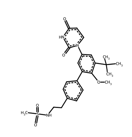 COc1c(-c2ccc(CCNS(C)(=O)=O)cc2)cc(-n2ccc(=O)[nH]c2=O)cc1C(C)(C)C